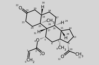 C=CC(=O)O[C@H]1C[C@]2(C)[C@@H](C(C)=O)CC[C@H]2[C@@H]2CC[C@H]3CC(=O)CC[C@]3(C)[C@H]21